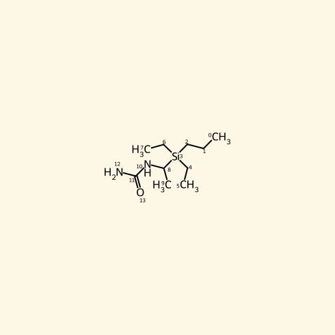 CCC[Si](CC)(CC)C(C)NC(N)=O